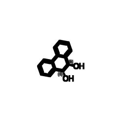 O[C@@H]1c2ccccc2-c2ccccc2[C@H]1O